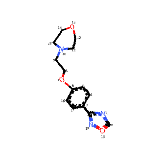 c1nc(-c2ccc(OCCN3CCOCC3)cc2)no1